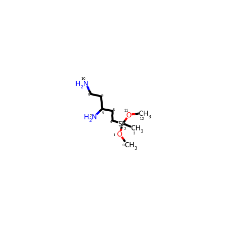 CO[Si](C)(CCC(N)CCN)OC